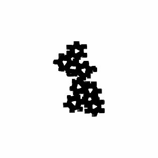 Cc1cc(-c2ccc(-c3ccccc3-n3c4ccccc4c4ccccc43)cc2)cc(-n2c3ccccc3c3cccc(C#N)c32)c1